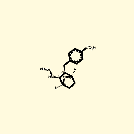 CCCCCCCN[C@H]1[C@@H](Cc2ccc(C(=O)O)cc2)[C@H]2CC[C@@H]1O2